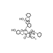 CN1CC(=O)N2[C@@H](Cc3ccc(O)cc3)C(=O)N(Cc3cccc4c3cnn4Cc3ccccc3C(=O)O)C[C@@H]2N1C(=O)NCc1ccccc1